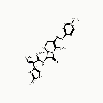 CO/N=C(\C(=O)NC1C(=O)N2C(C(=O)[O-])=C(CSc3cc[n+](N)cc3)CS[C@@H]12)c1csc(N)n1